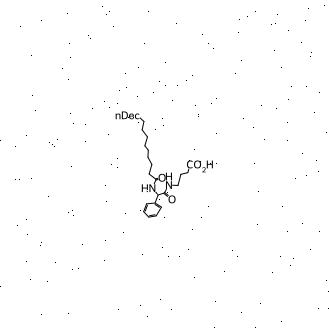 CCCCCCCCCCCCCCCCCCC(=O)N[C@@H](C(=O)NCCCC(=O)O)c1ccccc1